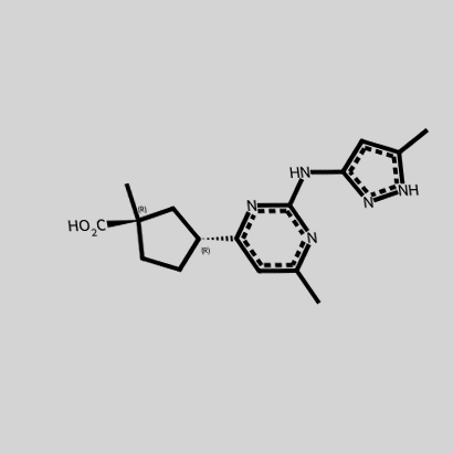 Cc1cc([C@@H]2CC[C@@](C)(C(=O)O)C2)nc(Nc2cc(C)[nH]n2)n1